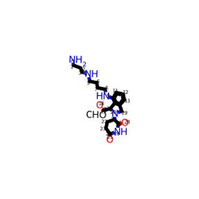 NCCCNCCCCNc1cccc2c1C(C(=O)C=O)N(C1CCC(=O)NC1=O)C2